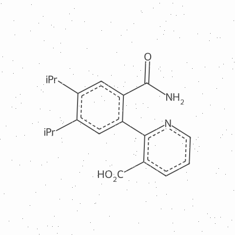 CC(C)c1cc(C(N)=O)c(-c2ncccc2C(=O)O)cc1C(C)C